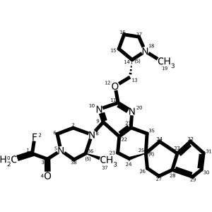 C=C(F)C(=O)N1CCN(c2nc(OC[C@@H]3CCCN3C)nc3c2CC[C@@]2(CCc4ccccc4C2)C3)[C@@H](C)C1